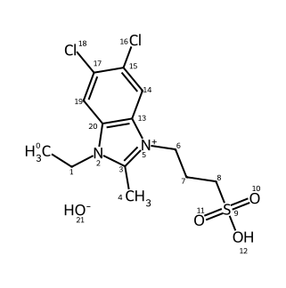 CCn1c(C)[n+](CCCS(=O)(=O)O)c2cc(Cl)c(Cl)cc21.[OH-]